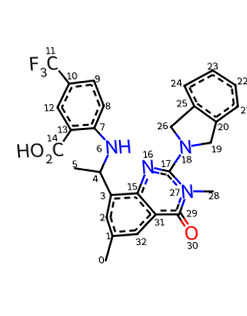 Cc1cc(C(C)Nc2ccc(C(F)(F)F)cc2C(=O)O)c2nc(N3Cc4ccccc4C3)n(C)c(=O)c2c1